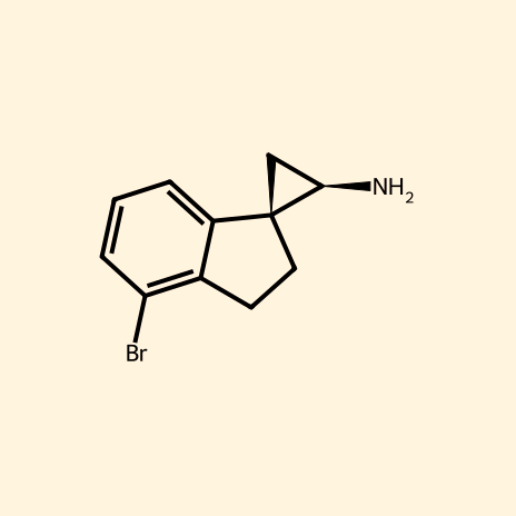 N[C@@H]1C[C@]12CCc1c(Br)cccc12